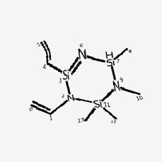 C=CN1[Si](C=C)=N[SiH](C)N(C)[Si]1(C)C